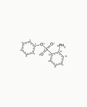 O=S(=O)(Oc1ccccc1)c1ccccc1P